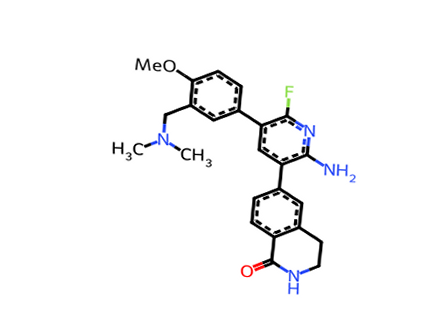 COc1ccc(-c2cc(-c3ccc4c(c3)CCNC4=O)c(N)nc2F)cc1CN(C)C